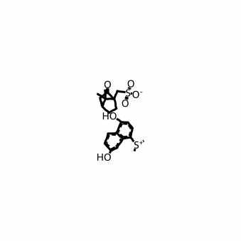 CC1(C)C2CCC1(CS(=O)(=O)[O-])C(=O)C2.C[S+](C)c1ccc(O)c2ccc(O)cc12